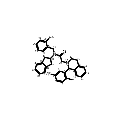 Cc1ccc(F)cc1C1c2ccccc2CCN1CC(=O)N(Cc1ccccc1F)C1Cc2ccccc2C1